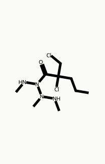 CCCC(Cl)(CCl)C(=O)N(NC)N(C)NC